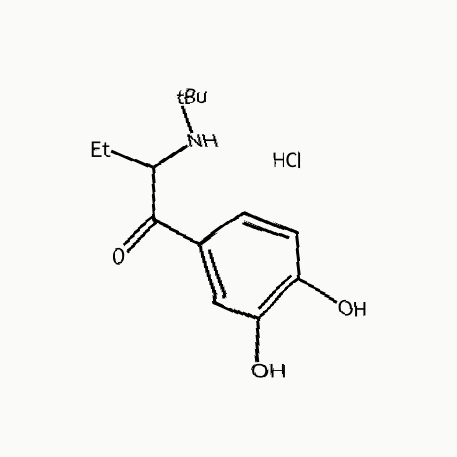 CCC(NC(C)(C)C)C(=O)c1ccc(O)c(O)c1.Cl